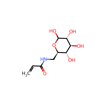 C=CC(=O)NC[C@H]1OC(O)[C@H](O)[C@@H](O)[C@@H]1O